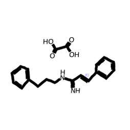 N=C(/C=C/c1ccccc1)NCCCc1ccccc1.O=C(O)C(=O)O